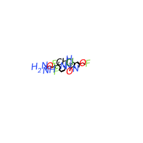 C[C@@H](c1nc(NC(=O)c2ncc(OCF)cc2Cl)ccc1F)C(F)(F)COC(=N)N